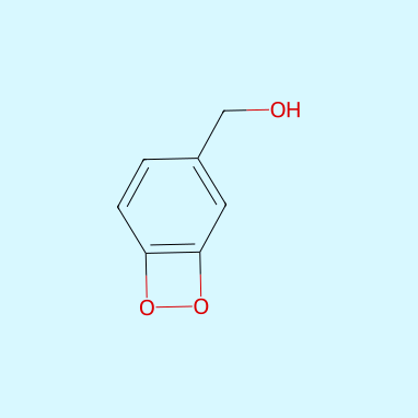 OCc1ccc2ooc2c1